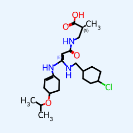 CC(C)OC1CC=C(N/C(=C/C(=O)NC[C@H](C)C(=O)O)NCC2CCC(Cl)CC2)CC1